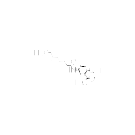 CCCCCCCC(=O)Nc1ccc(O)c(C(=O)O)c1